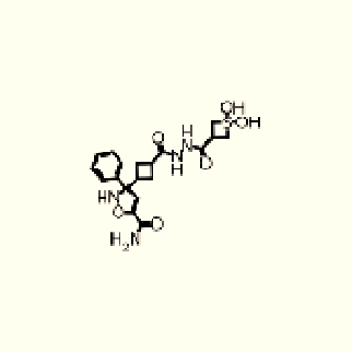 NC(=O)C1=CC(c2ccccc2)(C2CC(C(=O)NNC(=O)C3CS(O)(O)C3)C2)NO1